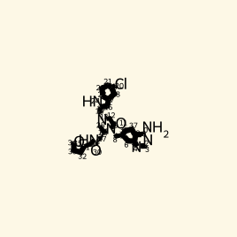 Nc1ncnc2cc(CN3C(=O)CN(Cc4cc5cc(Cl)ccc5[nH]4)C[C@@H]3CNC(=O)c3ccco3)ccc12